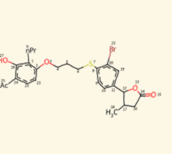 CCCc1c(OCCCSc2ccc(C3OC(=O)CC3C)cc2Br)ccc(C(C)=O)c1O